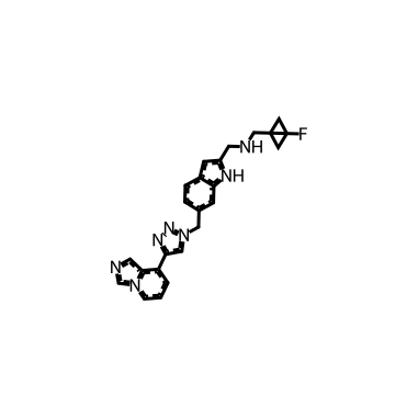 FC12CC1(CNCc1cc3ccc(Cn4cc(-c5cccn6cncc56)nn4)cc3[nH]1)C2